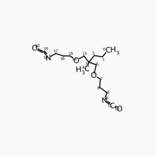 CCCC(C)(COCCCN=C=O)COCCCN=C=O